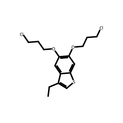 CCc1csc2cc(OCCCCl)c(OCCCCl)cc12